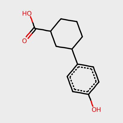 O=C(O)C1CCCC(c2ccc(O)cc2)C1